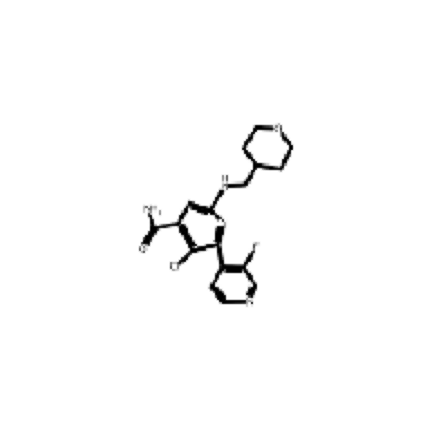 NC(=O)c1cc(NCC2CCOCC2)nc(-c2c[c]ncc2F)c1Cl